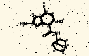 Cl.Nc1nc2c(C(=O)NC3CN4CCC3CC4)ccc(F)c2o1